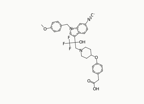 [C-]#[N+]c1ccc2c(C(O)(CN3CCC(Oc4ccc(CC(=O)O)cc4)CC3)C(F)(F)F)cn(Cc3ccc(OC)cc3)c2c1